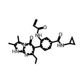 C=CC(=O)Nc1cc(C(=O)NC2CC2)ccc1-c1c(CC)nc2[nH]c(C)c(C)n2c1=O